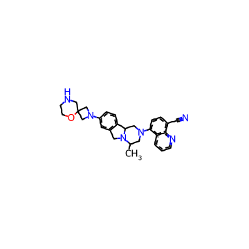 CC1CN(c2ccc(C#N)c3ncccc23)CC2c3ccc(N4CC5(CNCCO5)C4)cc3CN12